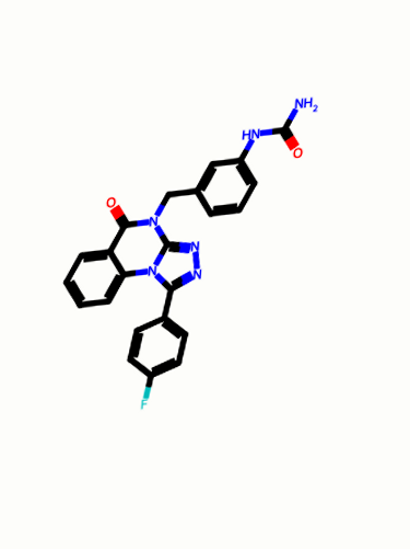 NC(=O)Nc1cccc(Cn2c(=O)c3ccccc3n3c(-c4ccc(F)cc4)nnc23)c1